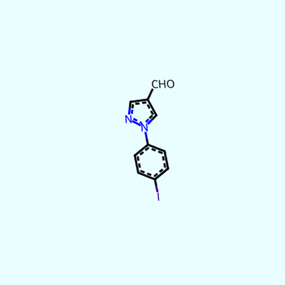 O=Cc1cnn(-c2ccc(I)cc2)c1